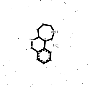 Cl.c1ccc2c(c1)COC1CCCNCC21